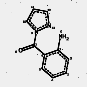 Nc1ccccc1C(=O)n1cccn1